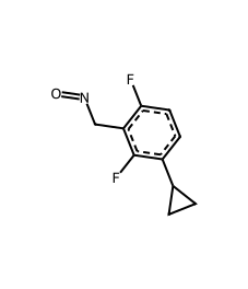 O=NCc1c(F)ccc(C2CC2)c1F